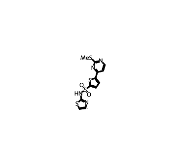 CSc1nccc(-c2ccc(S(=O)(=O)Nc3n[c]cs3)s2)n1